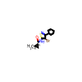 C[C@@H]1C[C@H]1C(=O)Nc1snc(-c2ccccc2)c1Br